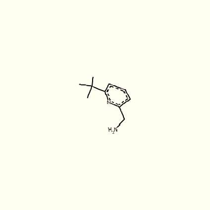 CC(C)(C)c1cccc(CN)n1